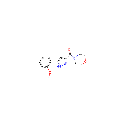 COc1ccccc1-c1cc(C(=O)N2CCOCC2)n[nH]1